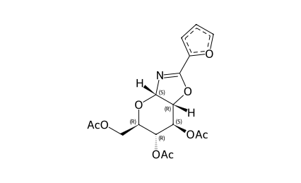 CC(=O)OC[C@H]1O[C@@H]2N=C(c3ccco3)O[C@@H]2[C@@H](OC(C)=O)[C@@H]1OC(C)=O